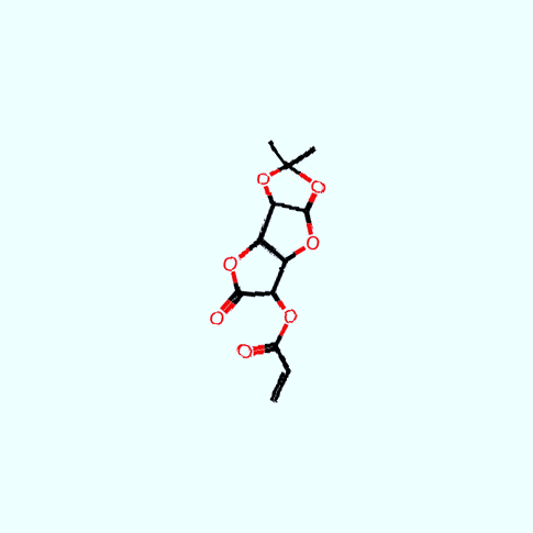 C=CC(=O)OC1C(=O)OC2C3OC(C)(C)OC3OC12